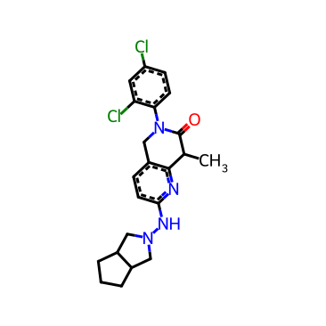 CC1C(=O)N(c2ccc(Cl)cc2Cl)Cc2ccc(NN3CC4CCCC4C3)nc21